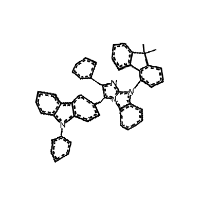 CC1(C)c2ccccc2-c2c(-n3c4ccccc4n4c(-c5ccc6c(c5)c5ccccc5n6-c5ccccc5)c(-c5ccccc5)nc34)cccc21